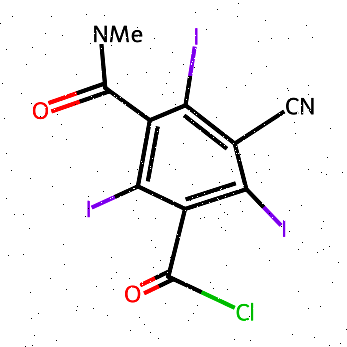 CNC(=O)c1c(I)c(C#N)c(I)c(C(=O)Cl)c1I